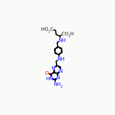 Nc1nc2ncc(CNc3ccc(CNC(CCC(=O)O)C(=O)O)cc3)nc2c(=O)[nH]1